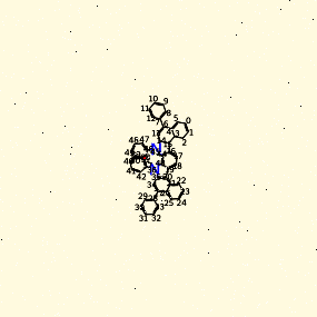 C1=CCC2C(=C1)C(c1ccccc1)=CC1C2c2ccc3c4c5ccccc5c(-c5ccccc5)cc4n(-c4ccccc4)c3c2N1c1ccccc1